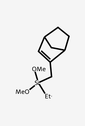 C[CH][Si](CC1=CC2CCC1C2)(OC)OC